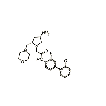 N[C@@H]1C[C@@H](CN2CCOCC2)N(CC(=O)Nc2ccc(-n3ccccc3=O)cc2F)C1